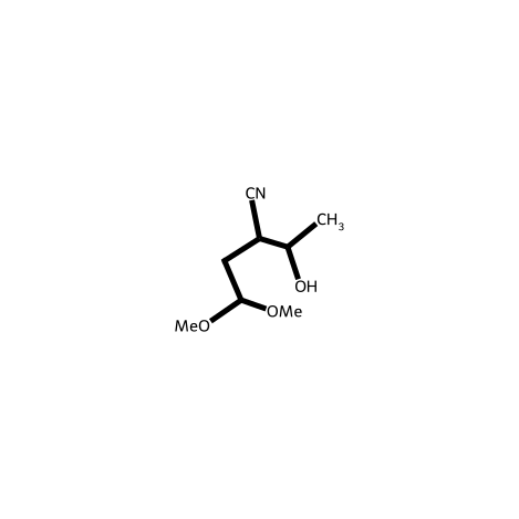 COC(CC(C#N)C(C)O)OC